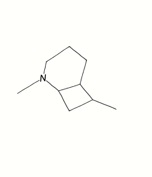 CC1CC2C1CCCN2C